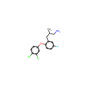 CC(CN)Cc1cc(F)ccc1Oc1ccc(Cl)c(Cl)c1